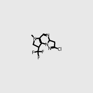 CN1CC(C(F)(F)F)C2=C1C=NC1CC(Cl)=NN21